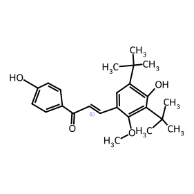 COc1c(/C=C/C(=O)c2ccc(O)cc2)cc(C(C)(C)C)c(O)c1C(C)(C)C